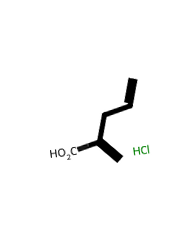 C=CCC(=C)C(=O)O.Cl